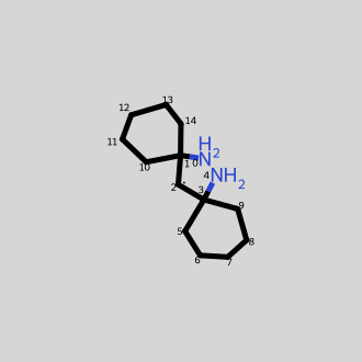 NC1([C]C2(N)CCCCC2)CCCCC1